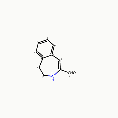 O=CC1=Cc2ccccc2CCN1